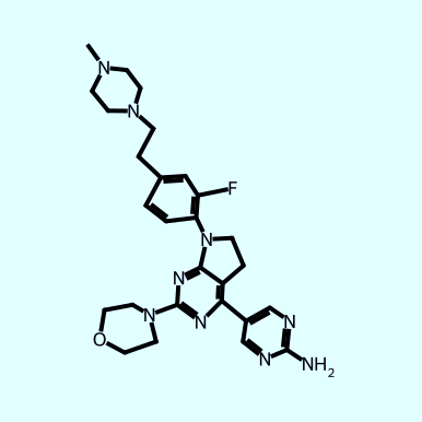 CN1CCN(CCc2ccc(N3CCc4c(-c5cnc(N)nc5)nc(N5CCOCC5)nc43)c(F)c2)CC1